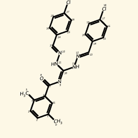 Cc1ccc(C)c(C(=O)N=C(NN=Cc2ccc(Cl)cc2)NN=Cc2ccc(Cl)cc2)c1